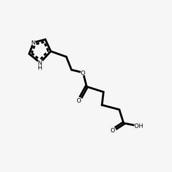 O=C(O)CCCC(=O)OCCc1cnc[nH]1